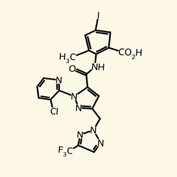 Cc1cc(I)cc(C(=O)O)c1NC(=O)c1cc(Cn2ncc(C(F)(F)F)n2)nn1-c1ncccc1Cl